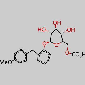 COc1ccc(Cc2ccccc2O[C@@H]2O[C@H](COC(=O)O)[C@@H](O)[C@H](O)[C@H]2O)cc1